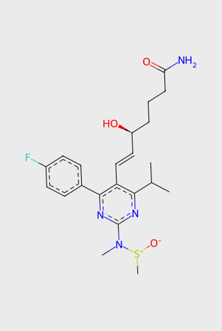 CC(C)c1nc(N(C)[S+](C)[O-])nc(-c2ccc(F)cc2)c1/C=C/[C@@H](O)CCCC(N)=O